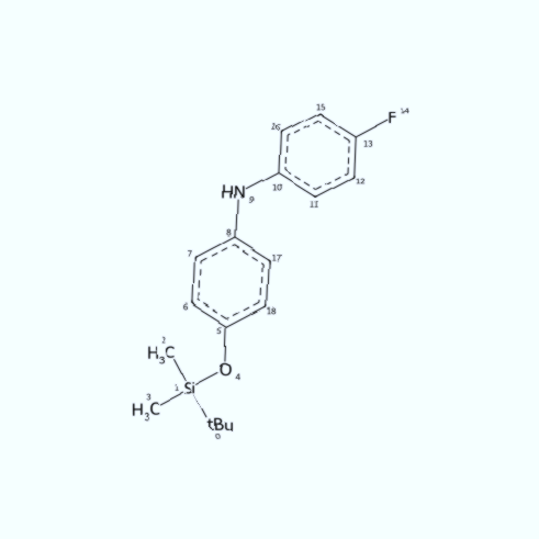 CC(C)(C)[Si](C)(C)Oc1ccc(Nc2ccc(F)cc2)cc1